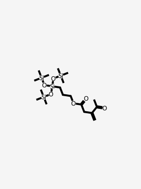 C=C(CC(=O)OCCC[Si](O[Si](C)(C)C)(O[Si](C)(C)C)O[Si](C)(C)C)C(C)=O